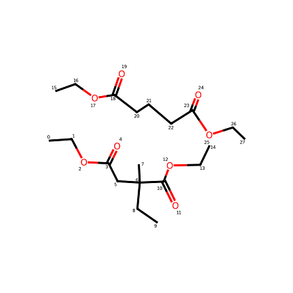 CCOC(=O)CC(C)(CC)C(=O)OCC.CCOC(=O)CCCC(=O)OCC